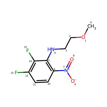 COCCNc1c([N+](=O)[O-])ccc(F)c1F